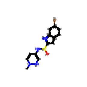 CN1C=CC(N[S+]([O-])c2cc3ccc(Br)cc3[nH]2)=CN1